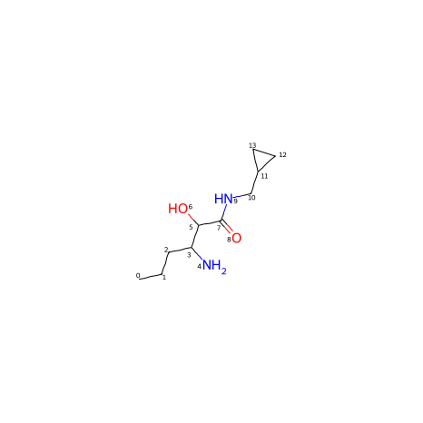 CCCC(N)C(O)C(=O)NCC1CC1